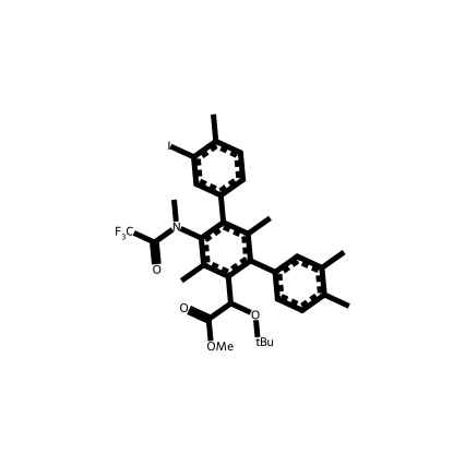 COC(=O)C(OC(C)(C)C)c1c(C)c(N(C)C(=O)C(F)(F)F)c(-c2ccc(C)c(I)c2)c(C)c1-c1ccc(C)c(C)c1